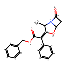 CC1C(=C(C(=O)OCc2ccccc2)c2ccccc2)OC2CC(=O)N21